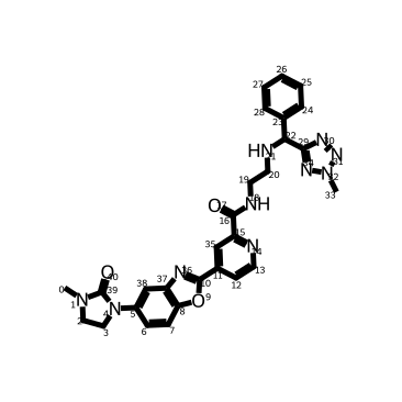 CN1CCN(c2ccc3oc(-c4ccnc(C(=O)NCCNC(c5ccccc5)c5nnn(C)n5)c4)nc3c2)C1=O